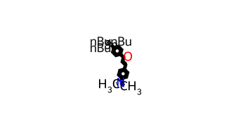 CCC[CH2][Sn]([CH2]CCC)([CH2]CCC)[c]1ccc(C(=O)C=Cc2ccc(N(C)C)cc2)cc1